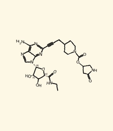 CCNC(=O)[C@H]1O[C@@H](n2cnc3c(N)nc(C#CCC4CCN(C(=O)OC5CNC(=O)C5)CC4)nc32)[C@@H](O)C1O